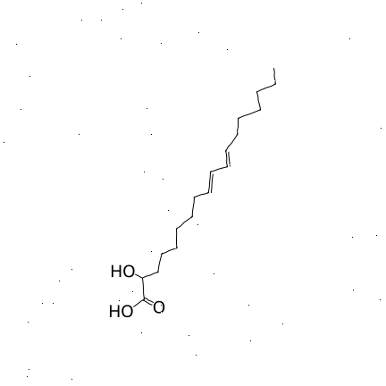 CCCCCCC=CC=CCCCCCCC(O)C(=O)O